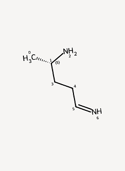 C[C@H](N)CCC=N